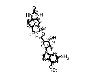 CCOc1nc(N)nc2c1ncn2C1OC(CO[P@@](=O)(N[C@H](C)C(=O)OC(C)C)SCC2NC(=O)NC2=O)[C@@H](O)[C@@]1(C)F